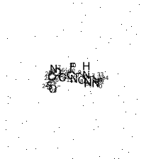 CN/C(=C\C(=N)NC(=O)Cc1ncc(Oc2ccnc3ccc([S+](C)[O-])cc23)cc1F)C(C)(C)C